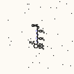 CC1=C(/C=C/C(C)=C/C=C/C(C)=C/OC=O)C(C)(C)CCC1